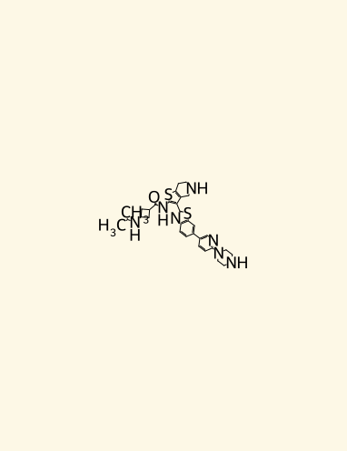 CC(C)NC1CC(C(=O)Nc2sc3c(c2-c2nc4ccc(-c5ccc(N6CCNCC6)nc5)cc4s2)CNCC3)C1